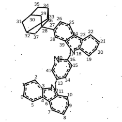 c1ccc2c(c1)c1ccccc1n2-c1ccc(-n2c3ccccc3c3ccc(C45CC6CC(CC(C6)C4)C5)cc32)nc1